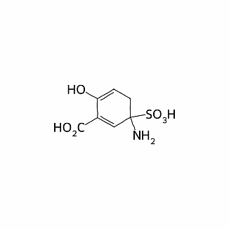 NC1(S(=O)(=O)O)C=C(C(=O)O)C(O)=CC1